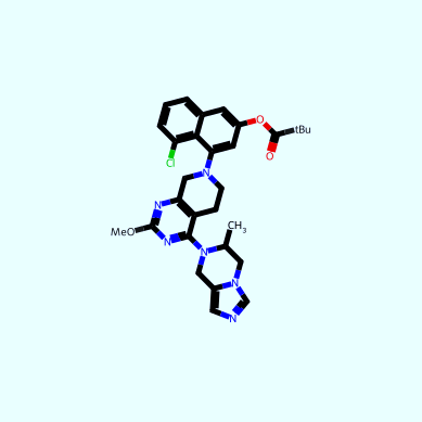 COc1nc2c(c(N3Cc4cncn4CC3C)n1)CCN(c1cc(OC(=O)C(C)(C)C)cc3cccc(Cl)c13)C2